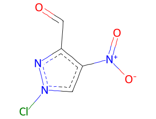 O=Cc1nn(Cl)cc1[N+](=O)[O-]